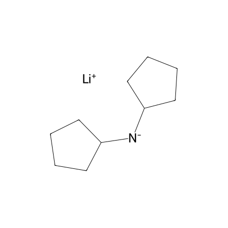 C1CCC([N-]C2CCCC2)C1.[Li+]